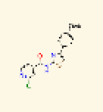 COC1=CCC(c2csc(NC(=O)c3ccnc(Cl)c3)n2)C=C1